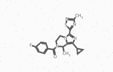 Cc1nsc(-c2nc(C3CC3)c3n2CCN(C(=O)c2ccc(F)cc2)C3C)n1